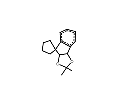 CC1(C)OC2c3ccccc3C3(CCCC3)C2O1